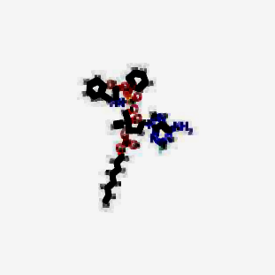 C#C[C@]1(CO[P@@](=O)(N[C@@H](Cc2ccccc2)C(=O)O)Oc2ccccc2)O[C@@H](n2cnc3c(N)nc(F)nc32)C[C@@H]1OC(=O)OCCCCCCCC